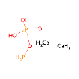 O=P(O)(O)OP.[CaH2].[CaH2]